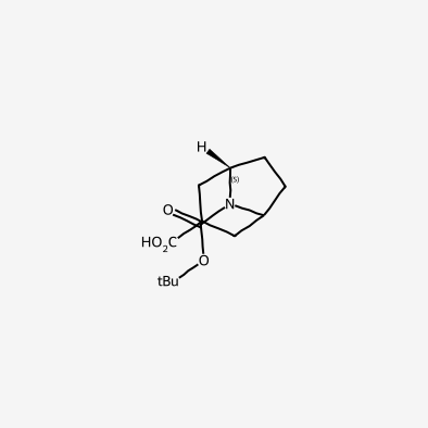 CC(C)(C)OC(=O)N1C2CC[C@H]1CC(C(=O)O)C2